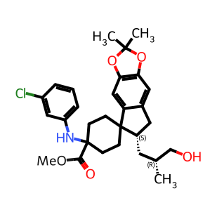 COC(=O)C1(Nc2cccc(Cl)c2)CCC2(CC1)c1cc3c(cc1C[C@@H]2C[C@@H](C)CO)OC(C)(C)O3